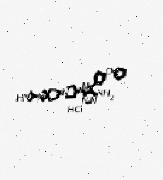 Cl.Nc1ncnc2c1c(-c1ccc(Oc3ccccc3)cc1)nn2C1CCN(C2CCC3(CC2)CN(C2CNC2)C3)CC1